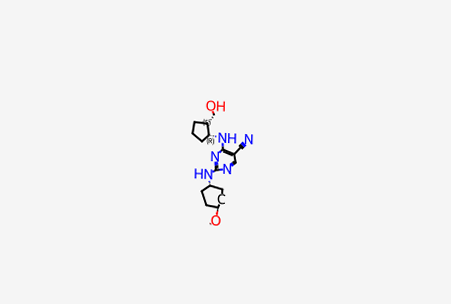 CO[C@H]1CC[C@H](Nc2ncc(C#N)c(N[C@@H]3CCC[C@@H]3CO)n2)CC1